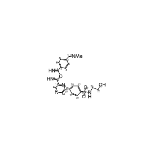 CNCc1ccc(C(=N)OC(=N)c2cncc(-c3ccc(S(=O)(=O)NCCO)cc3)n2)cc1